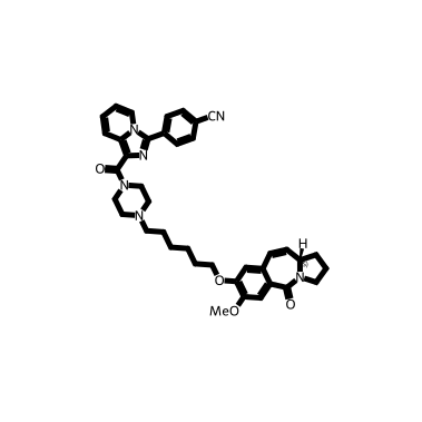 COc1cc2c(cc1OCCCCCCN1CCN(C(=O)c3nc(-c4ccc(C#N)cc4)n4ccccc34)CC1)C=C[C@@H]1CCCN1C2=O